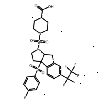 CC(F)(c1ccc2c(c1)CC1N(S(=O)(=O)N3CCC(C(=O)O)CC3)CCC21S(=O)(=O)c1ccc(F)cc1)C(F)(F)F